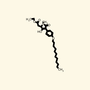 CCCCCCCCCCCCOc1ccc(C2=C(O)C(CC(=O)OCC)N(C)C2=O)cc1